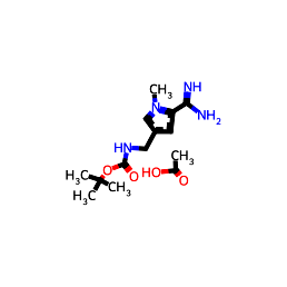 CC(=O)O.Cn1cc(CNC(=O)OC(C)(C)C)cc1C(=N)N